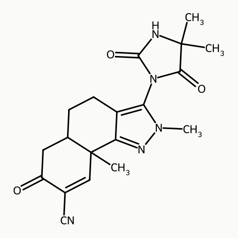 Cn1nc2c(c1N1C(=O)NC(C)(C)C1=O)CCC1CC(=O)C(C#N)=CC21C